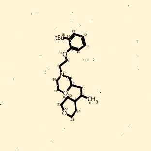 CC(CC1CN(CCOc2ccccc2C(C)(C)C)CCO1)C1CCOCC1